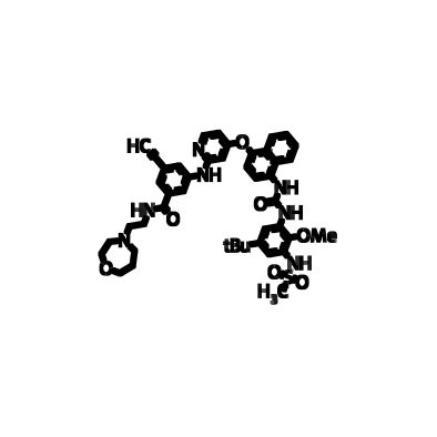 C#Cc1cc(Nc2cc(Oc3ccc(NC(=O)Nc4cc(C(C)(C)C)cc(NS(C)(=O)=O)c4OC)c4ccccc34)ccn2)cc(C(=O)NCCN2CCCOCC2)c1